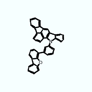 c1cc(-c2cccc3c2oc2ccccc23)cc(-n2c3ccccc3c3cc4c5c(cccc5c32)-c2ccccc2-4)c1